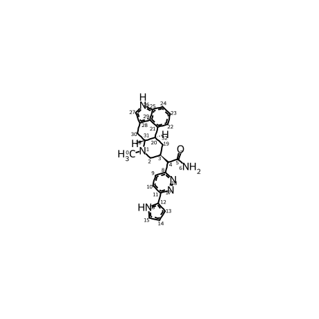 CN1C[C@H](C(C(N)=O)c2ccc(-c3ccc[nH]3)nn2)C[C@@H]2c3cccc4[nH]cc(c34)C[C@H]21